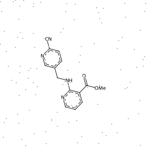 COC(=O)c1cccnc1NCc1ccc(C#N)nc1